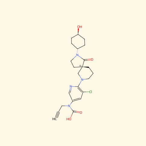 C#CCN(C(=O)O)c1cnc(N2CCC[C@]3(CCN([C@H]4CC[C@H](O)CC4)C3=O)C2)c(Cl)c1